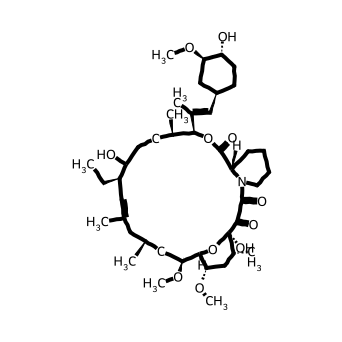 CC[C@@H]1/C=C(\C)C[C@H](C)C[C@H](OC)[C@H]2O[C@@](O)(C(=O)C(=O)N3CCCC[C@H]3C(=O)O[C@H](/C(C)=C/[C@@H]3CC[C@@H](O)[C@H](OC)C3)[C@H](C)CCC1O)[C@H](C)C[C@@H]2OC